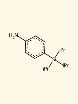 CC(C)[Si](c1ccc(N)cc1)(C(C)C)C(C)C